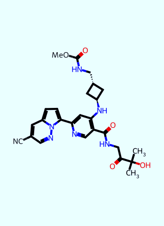 COC(=O)NC[C@H]1C[C@H](Nc2cc(-c3ccc4cc(C#N)cnn34)ncc2C(=O)NCC(=O)C(C)(C)O)C1